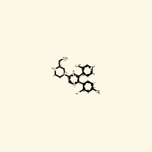 OCC1CN(c2cnc(-c3ccc(Cl)cc3F)c(-c3ccncc3Cl)n2)CCO1